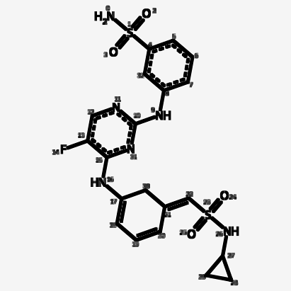 NS(=O)(=O)c1cccc(Nc2ncc(F)c(NC3=CC=C/C(=C\S(=O)(=O)NC4CC4)C3)n2)c1